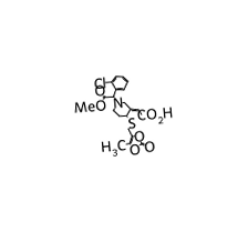 COC(=O)[C@H](c1ccccc1Cl)N1CC[C@@H](SCc2oc(=O)oc2C)/C(=C\C(=O)O)C1